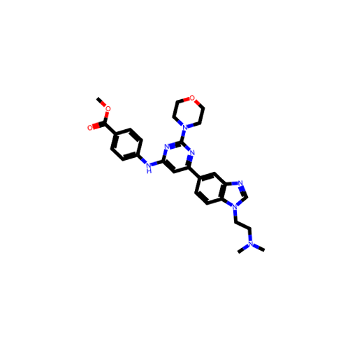 COC(=O)c1ccc(Nc2cc(-c3ccc4c(c3)ncn4CCN(C)C)nc(N3CCOCC3)n2)cc1